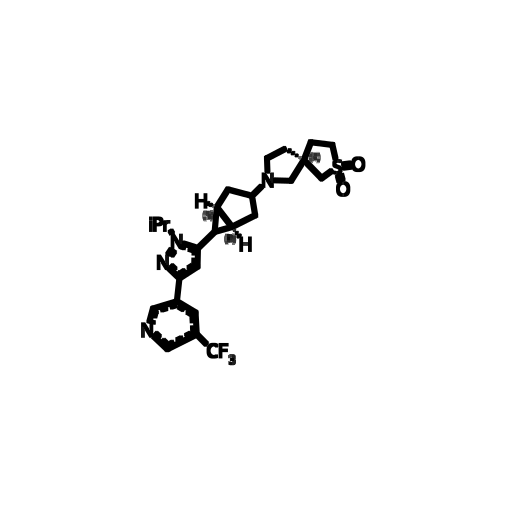 CC(C)n1nc(-c2cncc(C(F)(F)F)c2)cc1C1[C@H]2CC(N3CC[C@@]4(CCS(=O)(=O)C4)C3)C[C@@H]12